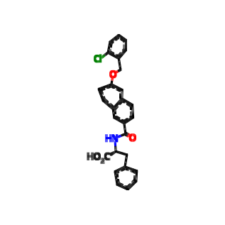 O=C(N[C@@H](Cc1ccccc1)C(=O)O)c1ccc2cc(OCc3ccccc3Cl)ccc2c1